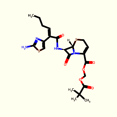 CCCC=C(C(=O)N[C@@H]1C(=O)N2C(C(=O)OCOC(=O)C(C)(C)C)=CCS[C@@H]12)c1csc(N)n1